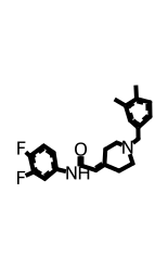 Cc1ccc(CN2CCC(=CC(=O)Nc3ccc(F)c(F)c3)CC2)cc1C